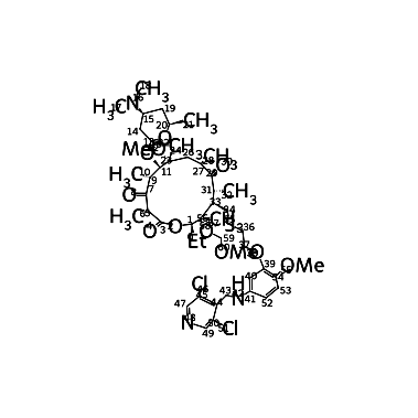 CC[C@H]1OC(=O)[C@H](C)C(=O)[C@H](C)[C@@H](OC2C[C@@H](N(C)C)C[C@@H](C)O2)[C@](C)(OC)C[C@@H](C)C(=O)[C@H](C)[C@@H](CSCCOc2cc(NCc3c(Cl)cncc3Cl)ccc2OC)[C@]1(C)OCOC